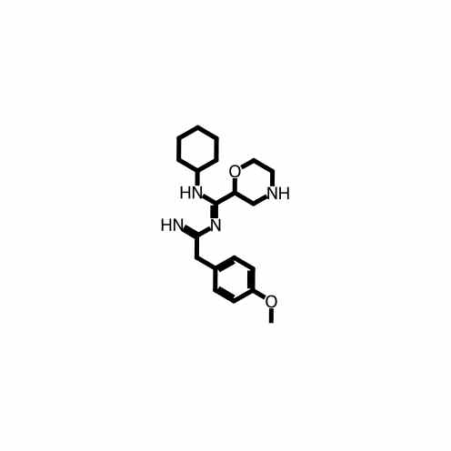 COc1ccc(CC(=N)/N=C(\NC2CCCCC2)C2CNCCO2)cc1